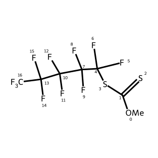 COC(=S)SC(F)(F)C(F)(F)C(F)(F)C(F)(F)C(F)(F)F